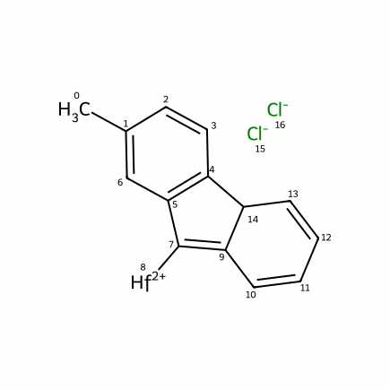 Cc1ccc2c(c1)[C]([Hf+2])=C1C=CC=CC12.[Cl-].[Cl-]